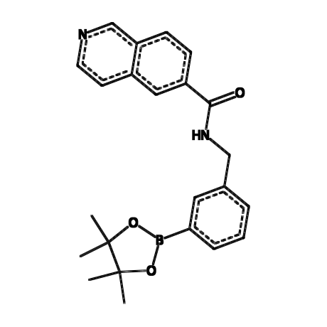 CC1(C)OB(c2cccc(CNC(=O)c3ccc4cnccc4c3)c2)OC1(C)C